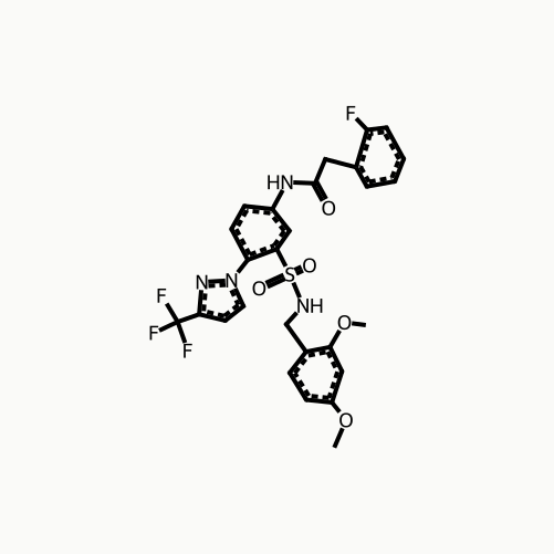 COc1ccc(CNS(=O)(=O)c2cc(NC(=O)Cc3ccccc3F)ccc2-n2ccc(C(F)(F)F)n2)c(OC)c1